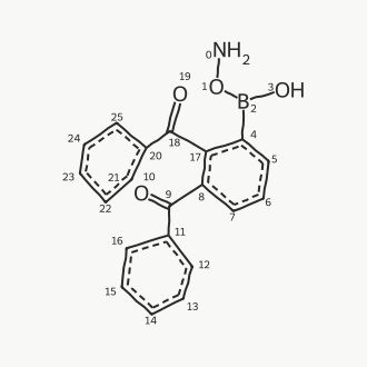 NOB(O)c1cccc(C(=O)c2ccccc2)c1C(=O)c1ccccc1